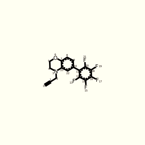 C#CCN1CCOc2ccc(-c3c(F)c(F)c(F)c(F)c3F)cc21